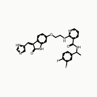 CC(NC(=O)c1cccnc1NCCOc1ccc2c(c1)NC(=O)C2=Cc1cnc[nH]1)c1ccc(F)c(F)c1